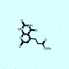 COC(=O)CCc1cc(=O)oc2[nH]c(=O)[nH]c(=O)c12